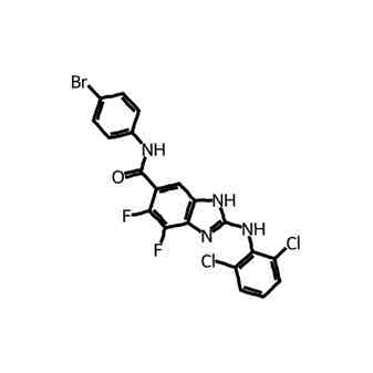 O=C(Nc1ccc(Br)cc1)c1cc2[nH]c(Nc3c(Cl)cccc3Cl)nc2c(F)c1F